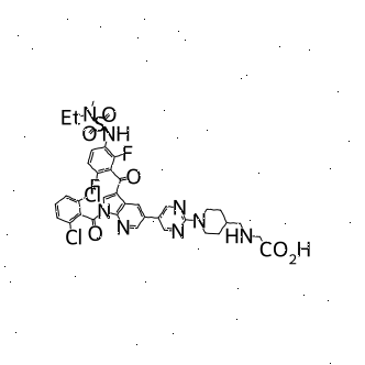 CCN(C)S(=O)(=O)Nc1ccc(F)c(C(=O)c2cn(C(=O)c3c(Cl)cccc3Cl)c3ncc(-c4cnc(N5CCC(CNCC(=O)O)CC5)nc4)cc23)c1F